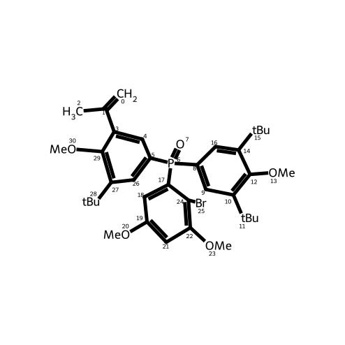 C=C(C)c1cc(P(=O)(c2cc(C(C)(C)C)c(OC)c(C(C)(C)C)c2)c2cc(OC)cc(OC)c2Br)cc(C(C)(C)C)c1OC